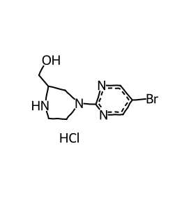 Cl.OCC1CN(c2ncc(Br)cn2)CCN1